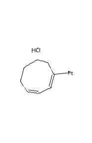 Cl.[Pt][C]1=CC=CCCCC1